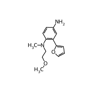 COCCN(C)c1ccc(N)cc1-c1ccco1